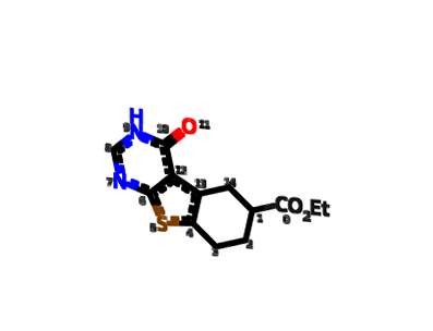 CCOC(=O)C1CCc2sc3nc[nH]c(=O)c3c2C1